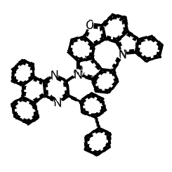 c1ccc(-c2cccc(-c3nc4c5ccccc5c5ccccc5c4nc3-n3c4ccc5oc6ccc7c8ccccc8n8c9cccc3c9c4c5c6c78)c2)cc1